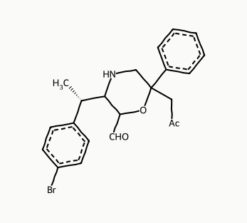 CC(=O)CC1(c2ccccc2)CNC([C@@H](C)c2ccc(Br)cc2)C(C=O)O1